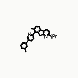 Cc1cccc(-c2ccc(-c3c(C)ccc4c3Cc3nc(C(C)C)ccc3-4)nc2)c1